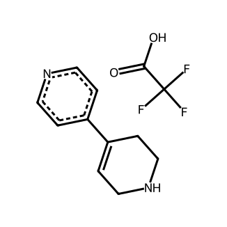 C1=C(c2ccncc2)CCNC1.O=C(O)C(F)(F)F